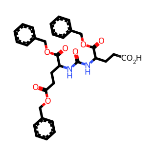 O=C(O)CCC(NC(=O)NC(CCC(=O)OCc1ccccc1)C(=O)OCc1ccccc1)C(=O)OCc1ccccc1